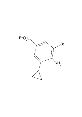 CCOC(=O)c1cc(Br)c(N)c(C2CC2)c1